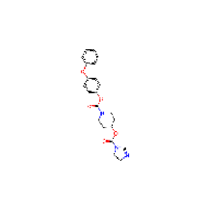 O=C(OC1CCN(C(=O)Oc2ccc(Oc3ccccc3)cc2)CC1)N1C=NCC1